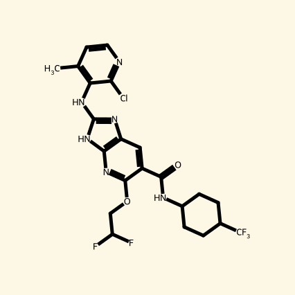 Cc1ccnc(Cl)c1Nc1nc2cc(C(=O)NC3CCC(C(F)(F)F)CC3)c(OCC(F)F)nc2[nH]1